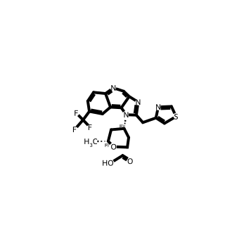 C[C@@H]1C[C@H](n2c(Cc3cscn3)nc3cnc4ccc(C(F)(F)F)cc4c32)CCO1.O=CO